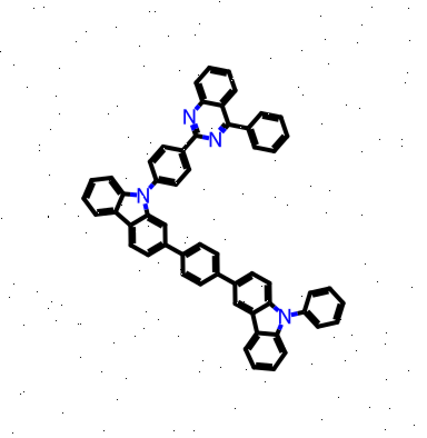 c1ccc(-c2nc(-c3ccc(-n4c5ccccc5c5ccc(-c6ccc(-c7ccc8c(c7)c7ccccc7n8-c7ccccc7)cc6)cc54)cc3)nc3ccccc23)cc1